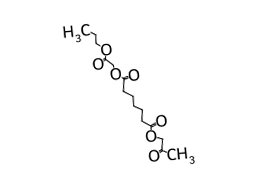 CCCOC(=O)COC(=O)CCCCCC(=O)OCC(C)=O